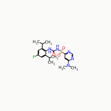 CC(C)c1cc(F)cc(C(C)C)c1NC(=O)NS(=O)(=O)c1cc(N(C)C)ncn1